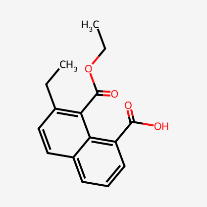 CCOC(=O)c1c(CC)ccc2cccc(C(=O)O)c12